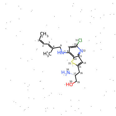 C/C=C\C=C(/C)CNc1cc(Cl)nc2cc(C[C@@H](N)CO)sc12